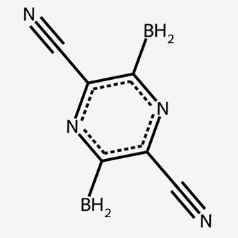 Bc1nc(C#N)c(B)nc1C#N